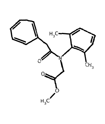 COC(=O)CN(C(=O)Cc1ccccc1)c1c(C)cccc1C